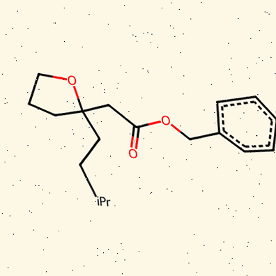 CC(C)CCC1(CC(=O)OCc2ccccc2)CCCO1